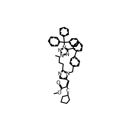 CCCCc1ncc(C=C(CC2CCCC2)C(=O)OC)n1Cc1ccc(-c2ccccc2-c2nnnn2C(c2ccccc2)(c2ccccc2)c2ccccc2)cc1